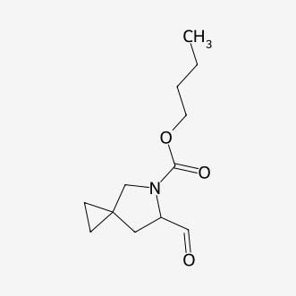 CCCCOC(=O)N1CC2(CC2)CC1C=O